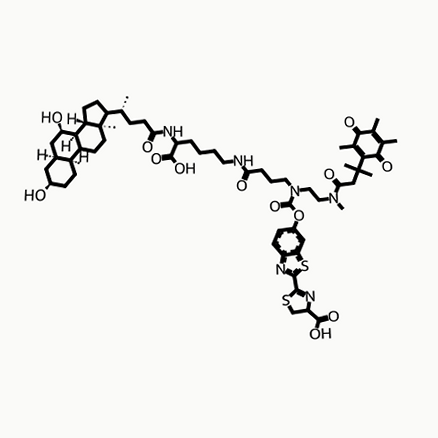 CC1=C(C)C(=O)C(C(C)(C)CC(=O)N(C)CCN(CCCC(=O)NCCCCC(NC(=O)CC[C@@H](C)C2CC[C@H]3[C@@H]4[C@H](O)C[C@@H]5C[C@H](O)CC[C@]5(C)[C@H]4CC[C@]23C)C(=O)O)C(=O)Oc2ccc3nc(C4=NC(C(=O)O)CS4)sc3c2)=C(C)C1=O